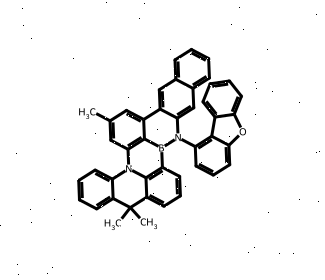 Cc1cc2c3c(c1)N1c4ccccc4C(C)(C)c4cccc(c41)B3N(c1cccc3oc4ccccc4c13)c1cc3ccccc3cc1-2